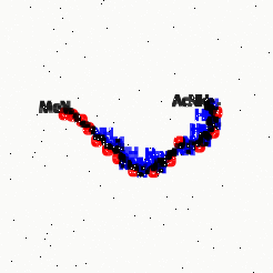 CNC(=O)COCCOCCOCCNC(=O)CCNC(=O)c1cc(NC(=O)c2nc(NC(=O)c3nc(NC(=O)c4cc(NC(=O)CCCNC(=O)c5nc(NC(=O)c6cc(NC(=O)c7cc(NC(=O)c8cc(NC(C)=O)cn8C)cn7C)cn6C)cn5C)cn4C)cn3C)cn2C)cn1C